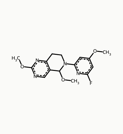 COc1cc(F)nc(N2CCc3nc(OC)ncc3C2OC)c1